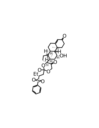 CCOC1(CCS(=O)(=O)c2ccccc2)OCC(=O)[C@@]2(CC[C@@H]3[C@H]4CCC5=CC(=O)CC[C@@]5(C)[C@@H]4[C@H](O)C[C@]32C)O1